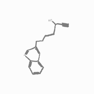 C#CC(O)CCCCc1cnc2ccccc2c1